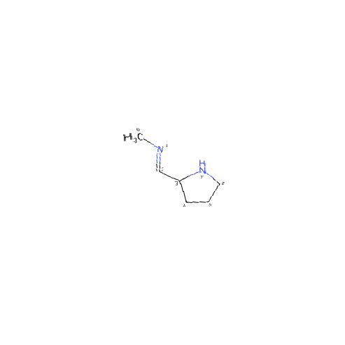 C/N=C/C1CCCN1